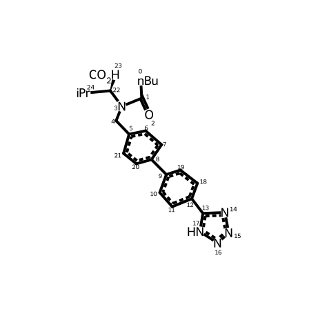 CCCCC(=O)N(Cc1ccc(-c2ccc(-c3nnn[nH]3)cc2)cc1)[C@H](C(=O)O)C(C)C